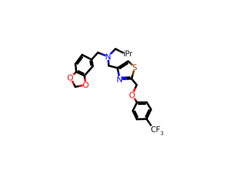 CC(C)CN(Cc1ccc2c(c1)OCO2)Cc1csc(COc2ccc(C(F)(F)F)cc2)n1